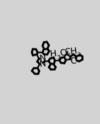 CC1(C)c2cc(-c3ccc(-c4nc(-c5ccccc5)cc(-c5ccccc5-c5cccc6ccccc56)n4)c4ccccc34)ccc2-c2cc3ccccc3cc21